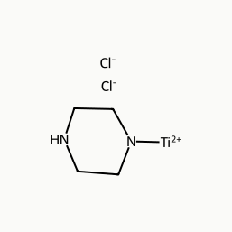 [Cl-].[Cl-].[Ti+2][N]1CCNCC1